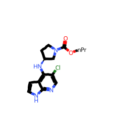 CCCOC(=O)N1CC[C@H](Nc2c(Cl)cnc3[nH]ccc23)C1